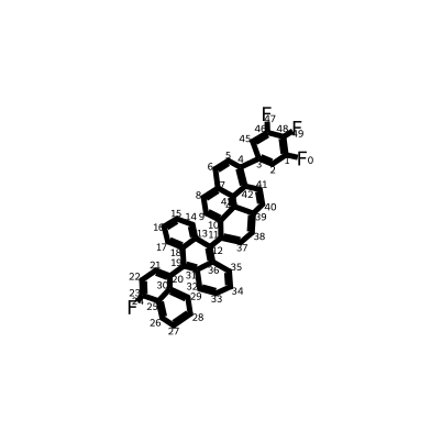 Fc1cc(-c2ccc3ccc4c(-c5c6ccccc6c(-c6ccc(F)c7ccccc67)c6ccccc56)ccc5ccc2c3c54)cc(F)c1F